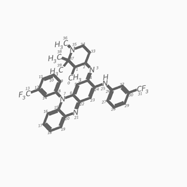 CC1C(N=c2cc3n(-c4cccc(C(F)(F)F)c4)c4ccccc4nc-3cc2Nc2cccc(C(F)(F)F)c2)CCN(C)C1(C)C